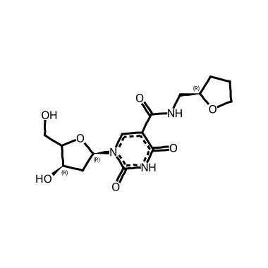 O=C(NC[C@H]1CCCO1)c1cn([C@H]2C[C@@H](O)C(CO)O2)c(=O)[nH]c1=O